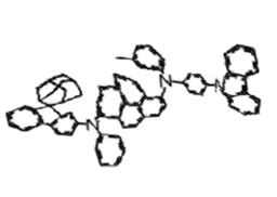 Cc1cccc(N(c2ccc(-n3c4ccccc4c4ccccc43)cc2)c2ccc3ccc4c(N(c5ccccc5)c5ccc6c(c5)C5(c7ccccc7-6)C6CC7CC(C6)CC5C7)ccc5ccc2c3c54)c1